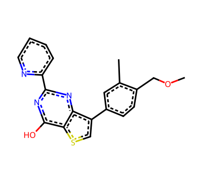 COCc1ccc(-c2csc3c(O)nc(-c4ccccn4)nc23)cc1C